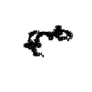 C=Cc1ccc(OCCCCCCC2(c3ccccc3)c3ccccc3-c3ccc(N(c4ccc(-c5cccc(C)c5)cc4)c4ccc5c(c4)c4ccccc4n5-c4ccc(COCc5ccc(COCc6ccc(-n7c8ccccc8c8cc(N(c9ccc(-c%10cccc(C)c%10)cc9)c9ccc%10c(c9)C(CCCCCCOc9ccc(C=C)cc9)(c9ccccc9)c9ccccc9-%10)ccc87)cc6)cc5)cc4)cc32)cc1